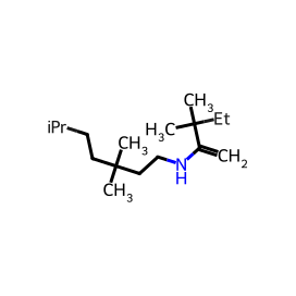 C=C(NCCC(C)(C)CCC(C)C)C(C)(C)CC